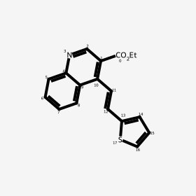 CCOC(=O)c1cnc2ccccc2c1C=Cc1cccs1